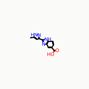 Cc1cc(-c2nc3cc(C(=O)O)ccc3[nH]2)n[nH]1